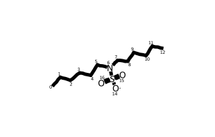 CCCCCCN(CCCCCC)S([O])(=O)=O